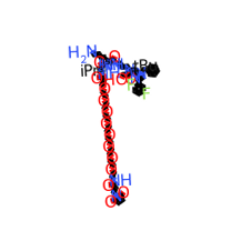 CC(C)[C@H](NC(=O)CCOCCOCCOCCOCCOCCOCCOCCOCCNC(=O)CCN1C(=O)C=CC1=O)C(=O)N[C@@H](CCCCN)C(=O)NCCCN(C(=O)CO)[C@@H](c1nc(-c2cc(F)ccc2F)cn1Cc1ccccc1)C(C)(C)C